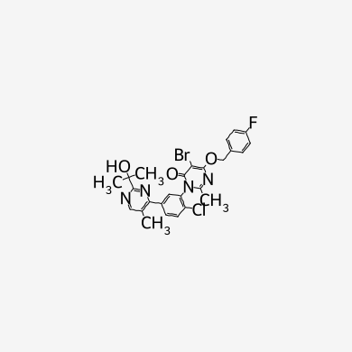 Cc1cnc(C(C)(C)O)nc1-c1ccc(Cl)c(-n2c(C)nc(OCc3ccc(F)cc3)c(Br)c2=O)c1